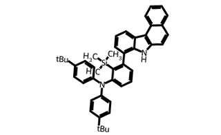 CC(C)(C)c1ccc(N(c2ccc(C(C)(C)C)cc2)c2cccc(-c3cccc4c3[nH]c3ccc5ccccc5c34)c2[Si](C)(C)C)cc1